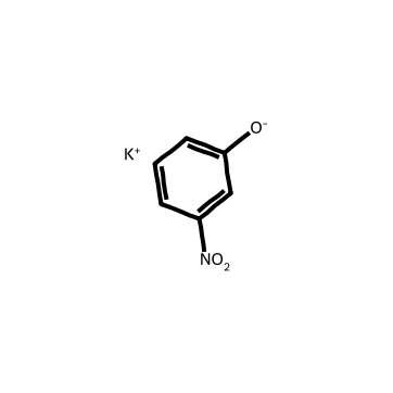 O=[N+]([O-])c1cccc([O-])c1.[K+]